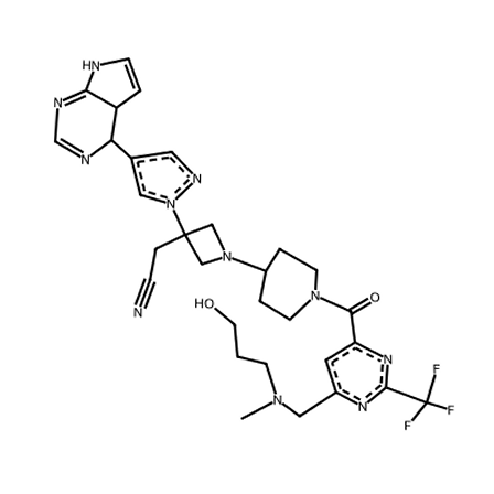 CN(CCCO)Cc1cc(C(=O)N2CCC(N3CC(CC#N)(n4cc(C5N=CN=C6NC=CC65)cn4)C3)CC2)nc(C(F)(F)F)n1